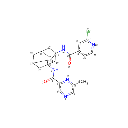 Cc1cncc(C(=O)NC23CC4CC(CC(NC(=O)c5ccnc(Br)c5)(C4)C2)C3)n1